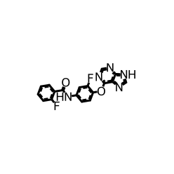 O=C(Nc1ccc(Oc2ncnc3[nH]cnc23)c(F)c1)c1ccccc1F